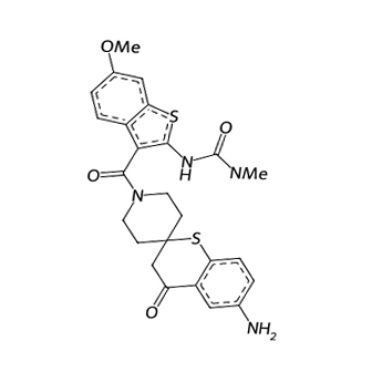 CNC(=O)Nc1sc2cc(OC)ccc2c1C(=O)N1CCC2(CC1)CC(=O)c1cc(N)ccc1S2